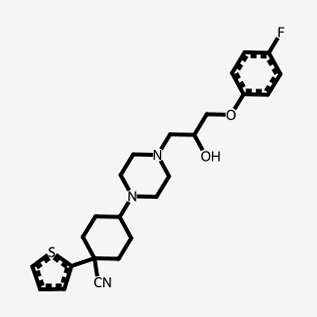 N#CC1(c2cccs2)CCC(N2CCN(CC(O)COc3ccc(F)cc3)CC2)CC1